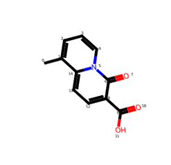 Cc1cccn2c(=O)c(C(=O)O)ccc12